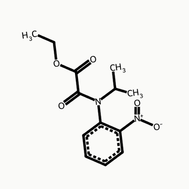 CCOC(=O)C(=O)N(c1ccccc1[N+](=O)[O-])C(C)C